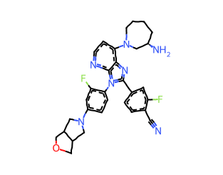 N#Cc1ccc(-c2nc3c(N4CCCC[C@@H](N)C4)ccnc3n2-c2ccc(N3CC4COCC4C3)cc2F)cc1F